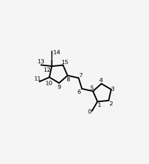 CC1CCCC1CCC1CC(C)C(C)(I)C1